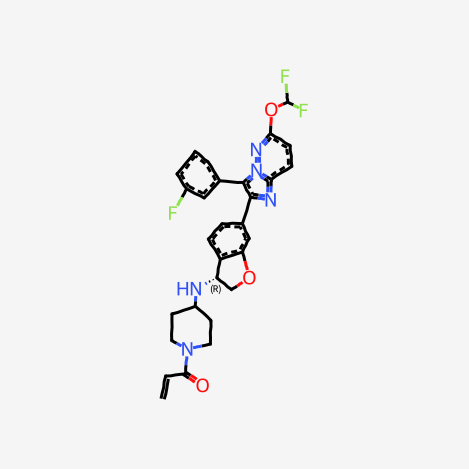 C=CC(=O)N1CCC(N[C@H]2COc3cc(-c4nc5ccc(OC(F)F)nn5c4-c4cccc(F)c4)ccc32)CC1